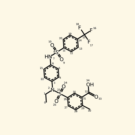 CCN(c1ccc(NS(=O)(=O)c2ccc(C(F)(F)F)cc2)cc1)S(=O)(=O)c1ccc(C)c(C(=O)O)c1